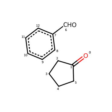 O=C1CCCC1.O=Cc1ccccc1